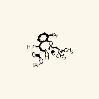 CC(C)OC(=O)[C@H]1NP(=O)(CN(C)C)Oc2c(C(C)C)cccc2C1C